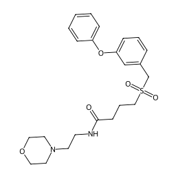 O=C(CCCS(=O)(=O)Cc1cccc(Oc2ccccc2)c1)NCCN1CCOCC1